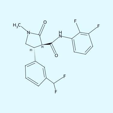 CN1C[C@@H](c2cccc(C(F)F)c2)[C@H](C(=O)Nc2cccc(F)c2F)C1=O